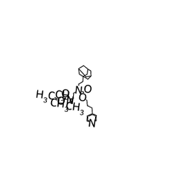 CN(CCN(CCC12CC3CC(CC(C3)C1)C2)C(=O)OCCCc1ccncc1)C(=O)OC(C)(C)C